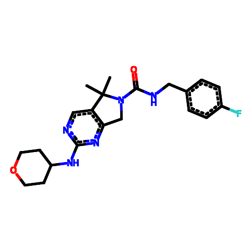 CC1(C)c2cnc(NC3CCOCC3)nc2CN1C(=O)NCc1ccc(F)cc1